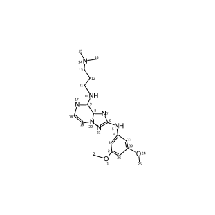 COc1cc(Nc2nc3c(NCCCN(C)C)nccn3n2)cc(OC)c1